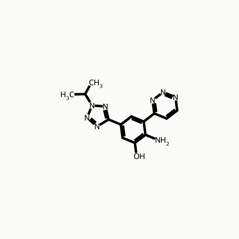 CC(C)n1nnc(-c2cc(O)c(N)c(-c3ccnnn3)c2)n1